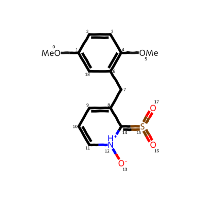 COc1ccc(OC)c(CC2=CC=C[NH+]([O-])C2=S(=O)=O)c1